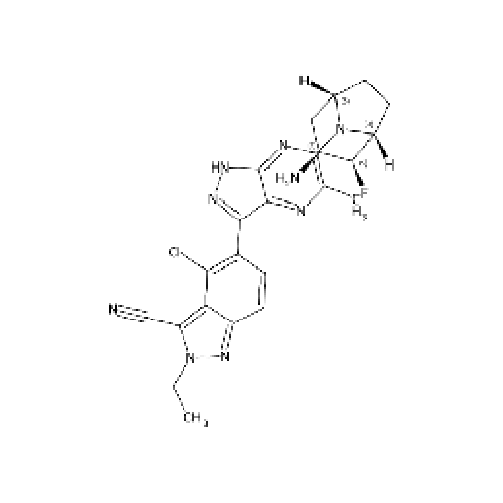 CCn1nc2ccc(-c3n[nH]c4nc(N5[C@H]6CC[C@@H]5[C@@H](F)[C@@H](N)C6)c(C)nc34)c(Cl)c2c1C#N